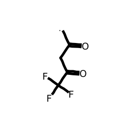 [CH2]C(=O)CC(=O)C(F)(F)F